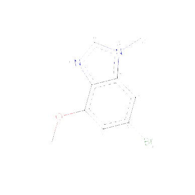 COc1cc(Br)cc2c1ncn2C